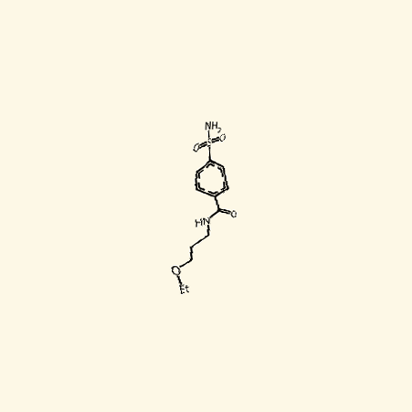 CCOCCCNC(=O)c1ccc(S(N)(=O)=O)cc1